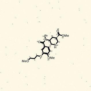 COCCCOc1cc(C(=O)N(C(C)C)C2CNC[C@H](C(=O)OC)C2)ccc1OC